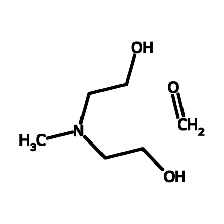 C=O.CN(CCO)CCO